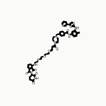 Cc1ccc(NC(=O)c2ccc(CN3CCN(C(=O)CCOCCOCCOCCNc4cccc5c4C(=O)N(C4CCC(=O)NC4=O)C5=O)CC3)cc2)cc1Nc1nc(-c2cccnc2)cs1